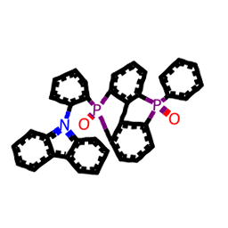 O=P1(c2ccccc2)c2cccc3c2-c2c1cccc2P3(=O)c1ccccc1-n1c2ccccc2c2ccccc21